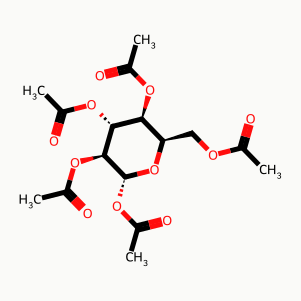 CC(=O)OC[C@H]1O[C@H](OC(C)=O)[C@@H](OC(C)=O)[C@H](OC(C)=O)[C@H]1OC(C)=O